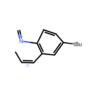 C=Nc1ccc(C(C)(C)C)cc1/C=C\C